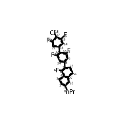 CCCc1ccc2c(F)c(-c3cc(F)c(-c4cc(F)c(Cl)c(F)c4)c(F)c3)ccc2c1